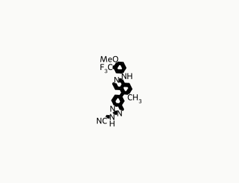 COc1ccc(Nc2nccc3c(-c4ccc5nc(NCC#N)ncc5c4)c(C)ccc23)cc1C(F)(F)F